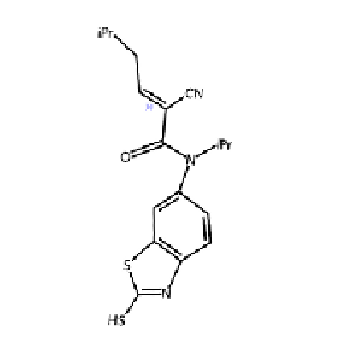 CC(C)C/C=C(\C#N)C(=O)N(c1ccc2nc(S)sc2c1)C(C)C